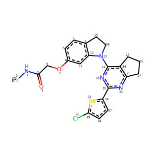 CC(C)NC(=O)COc1ccc2c(c1)N(c1nc(-c3ccc(Cl)s3)nc3c1CCC3)CC2